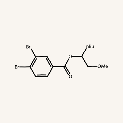 CCCCC(COC)OC(=O)c1ccc(Br)c(Br)c1